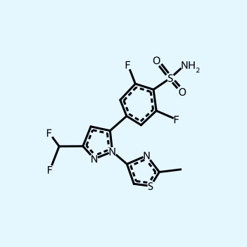 Cc1nc(-n2nc(C(F)F)cc2-c2cc(F)c(S(N)(=O)=O)c(F)c2)cs1